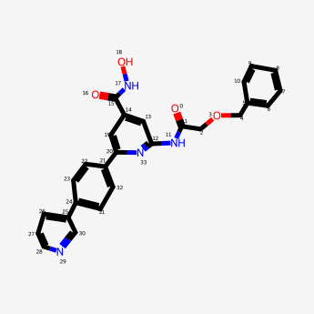 O=C(COCc1ccccc1)Nc1cc(C(=O)NO)cc(-c2ccc(-c3cccnc3)cc2)n1